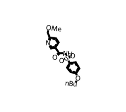 CCCCOc1ccc(S(=O)(=O)NC(=O)c2ccc(COC)nc2)cc1